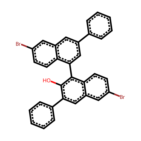 Oc1c(-c2ccccc2)cc2cc(Br)ccc2c1-c1cc(-c2ccccc2)cc2cc(Br)ccc12